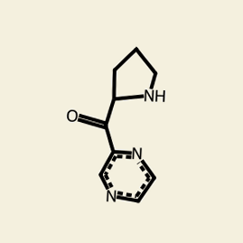 O=C(c1cnccn1)C1CCCN1